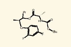 CC(C)C(OC(=O)[C@H](C)NC(=O)OC(C)(C)C)[C@H](C)Oc1ccc(F)cc1F